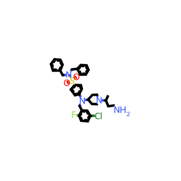 CC(CCN)N1CCC(N(Cc2cc(Cl)ccc2F)c2ccc(S(=O)(=O)N(Cc3ccccc3)Cc3ccccc3)cc2)CC1